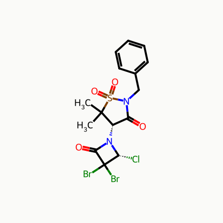 CC1(C)[C@@H](N2C(=O)C(Br)(Br)[C@H]2Cl)C(=O)N(Cc2ccccc2)S1(=O)=O